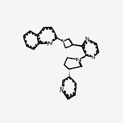 c1cncc([C@@H]2CCN(c3nccnc3C3CN(c4ccc5ccccc5n4)C3)C2)c1